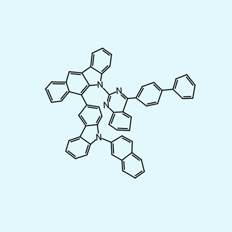 c1ccc(-c2ccc(-c3nc(-n4c5ccccc5c5cc6ccccc6c(-c6ccc7c(c6)c6ccccc6n7-c6ccc7ccccc7c6)c54)nc4ccccc34)cc2)cc1